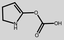 O=C(O)OC1=CCCN1